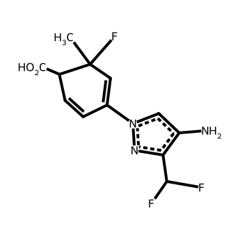 CC1(F)C=C(n2cc(N)c(C(F)F)n2)C=CC1C(=O)O